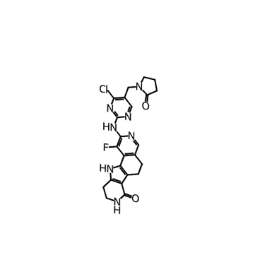 O=C1NCCc2[nH]c3c(c21)CCc1cnc(Nc2ncc(CN4CCCC4=O)c(Cl)n2)c(F)c1-3